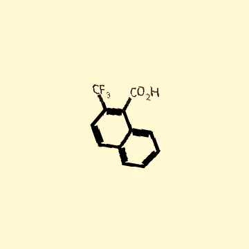 O=C(O)c1c(C(F)(F)F)ccc2ccccc12